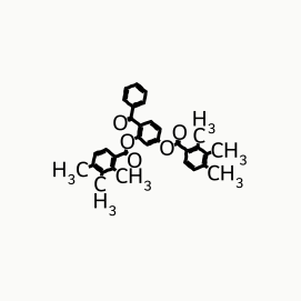 Cc1ccc(C(=O)Oc2ccc(C(=O)c3ccccc3)c(OC(=O)c3ccc(C)c(C)c3C)c2)c(C)c1C